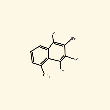 Cc1cccc2c(C(C)C)c(C(C)C)c(C(C)C)c(C(C)C)c12